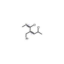 C/N=C(Cl)\C(=C/C(C)Cl)CC(C)C